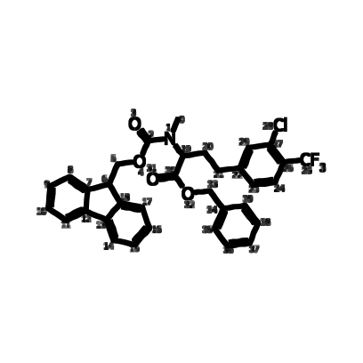 CN(C(=O)OCC1c2ccccc2-c2ccccc21)C(CCc1ccc(C(F)(F)F)c(Cl)c1)C(=O)OCc1ccccc1